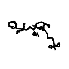 CS(=O)(=O)CCCCN1C(=O)CC[C@@H]1C(O)=CCC(F)(F)c1ccccc1